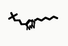 CCCCCCn1cc(CCCC(C)(C)C)nn1